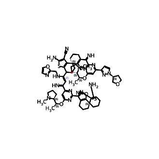 C[C@H](Oc1cc(-c2ccn([C@H]3CCOC3)n2)nc(C(=N)C2=C(O)[C@@]3(CCC2)CCC(/C(=C/C(=N)c2cc(O[C@@H](C)[C@@H]4CCCN4C)nc(-c4noc5c4CCC[C@@]54CCCc5sc(N)c(C#N)c54)n2)NCc2ncco2)c2sc(N)c(C#N)c23)n1)[C@@H]1CCCN1C